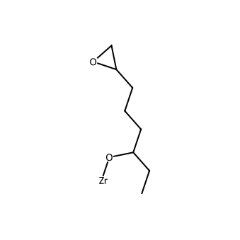 CCC(CCCC1CO1)[O][Zr]